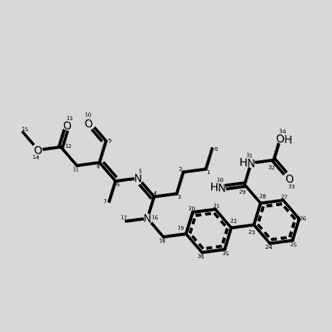 CCCC/C(=N/C(C)=C(\C=O)CC(=O)OC)N(C)Cc1ccc(-c2ccccc2C(=N)NC(=O)O)cc1